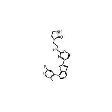 Cc1cnc(F)cc1-c1cccc2cc(-c3ccnc(NCCN4CCNC4=O)n3)sc12